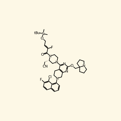 CC(C)(C)[Si](C)(C)OC/C=C(\F)C(=O)N1CCN(c2nc(OCC34CCCN3CCC4)nc3c2CCN(c2cccc4ccc(F)c(Cl)c24)C3)C[C@@H]1CC#N